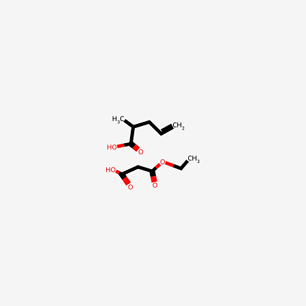 C=CCC(C)C(=O)O.CCOC(=O)CC(=O)O